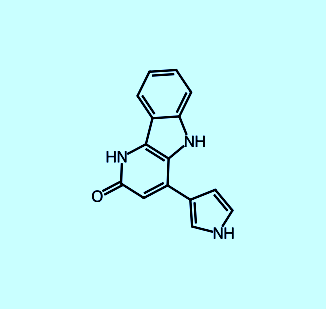 O=c1cc(-c2cc[nH]c2)c2[nH]c3ccccc3c2[nH]1